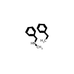 CCc1ccccc1.CNCc1ccccc1